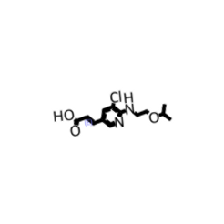 CC(C)OCCNc1ncc(/C=C/C(=O)O)cc1Cl